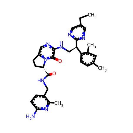 CCc1cnc([C@H](CNc2ncc3n(c2=O)[C@H](C(=O)NCc2ccc(N)nc2C)CC3)c2ccc(C)cc2C)nc1